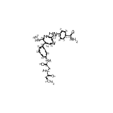 C=CC(=O)NCC(=O)Nc1cccc(-c2cnc(Nc3ccc(C(N)=O)cc3)nc2NCCC)c1